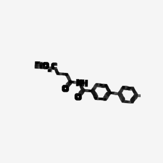 CCOC(=O)CCC(=O)NC(=O)c1ccc(-c2cc[c]cc2)cc1